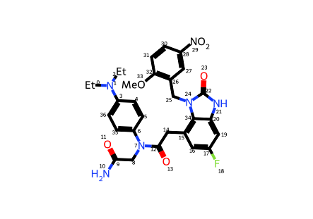 CCN(CC)c1ccc(N(CC(N)=O)C(=O)Cc2cc(F)cc3[nH]c(=O)n(Cc4cc([N+](=O)[O-])ccc4OC)c23)cc1